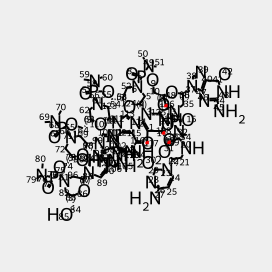 Cc1cn([C@H]2CN(P(=O)(OC[C@@H]3CN(P(=O)(OC[C@@H]4CNC[C@H](n5ccc(N)nc5=O)O4)N(C)C)C[C@H](n4cnc5c(=O)[nH]c(N)nc54)O3)N(C)C)C[C@@H](COP(=O)(N(C)C)N3C[C@@H](COP(=O)(N(C)C)N4C[C@@H](COP(=O)(N(C)C)N5C[C@@H](CO)O[C@@H](n6ccc(N)nc6=O)C5)O[C@@H](n5cnc6c(N)ncnc65)C4)O[C@@H](n4cnc5c(=O)[nH]c(N)nc54)C3)O2)c(=O)[nH]c1=O